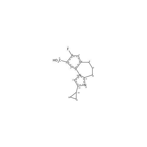 O=C(O)c1cc2c(cc1F)CCCc1nc(C3CC3)cn1-2